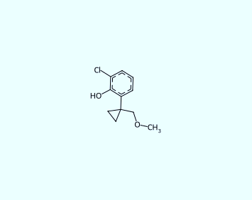 COCC1(c2cccc(Cl)c2O)CC1